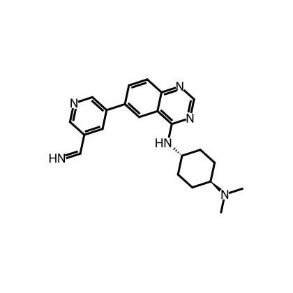 CN(C)[C@H]1CC[C@H](Nc2ncnc3ccc(-c4cncc(C=N)c4)cc23)CC1